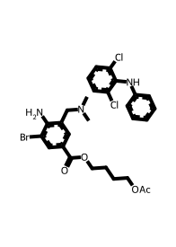 CC(=O)OCCCCOC(=O)c1cc(Br)c(N)c(CN(C)C)c1.Clc1cccc(Cl)c1Nc1ccccc1